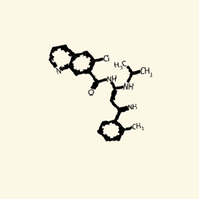 Cc1ccccc1C(=N)/C=C(/NC(=O)c1cc2ncccc2cc1Cl)NC(C)C